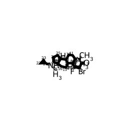 CN1C(=O)C(Br)=C(F)[C@@]2(C)C1CC[C@@H]1[C@H]2CC[C@]2(C)C(NC3CC3)CC[C@@H]12